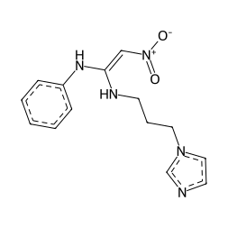 O=[N+]([O-])C=C(NCCCn1ccnc1)Nc1ccccc1